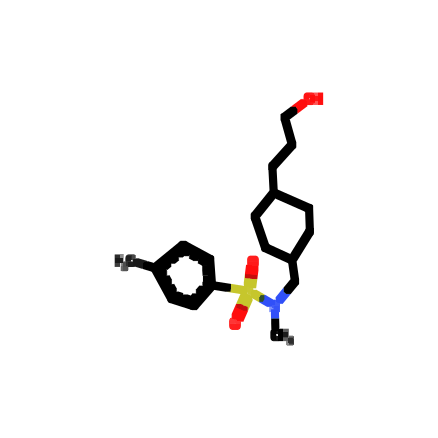 CN(CC1CCC(CCCO)CC1)S(=O)(=O)c1ccc(C(F)(F)F)cc1